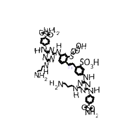 NCCCNc1nc(Nc2ccc(S(N)(=O)=O)cc2)nc(Nc2ccc(/C=C/c3ccc(Nc4nc(NCCCN)nc(Nc5ccc(S(N)(=O)=O)cc5)n4)cc3S(=O)(=O)O)c(SOOO)c2)n1